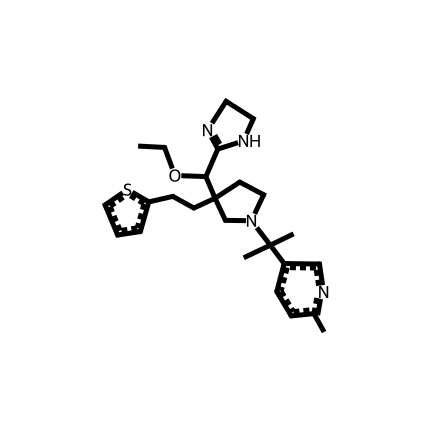 CCOC(C1=NCCN1)C1(CCc2cccs2)CCN(C(C)(C)c2ccc(C)nc2)C1